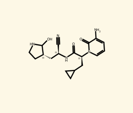 N#C[C@H](C[C@@H]1CCNC1O)NC(=O)[C@H](CC1CC1)n1cccc(N)c1=O